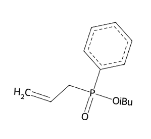 C=CCP(=O)(OCC(C)C)c1ccccc1